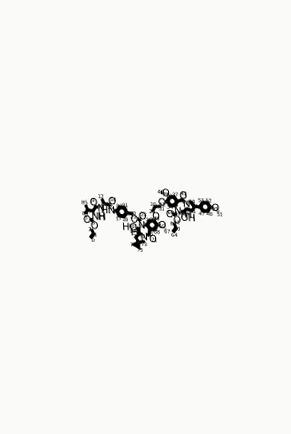 C=CCOC(=O)NC(C(=O)NC(C)C(=O)Nc1ccc(COC(=O)N2c3cc(OCCCOc4cc5c(cc4OC)C(=O)N4C=C(c6ccc(OC)cc6)C[C@H]4C(O)N5C(=O)OCC=C)c(OC)cc3C(=O)N3CC4(CC4)C[C@H]3C2O)cc1)C(C)C